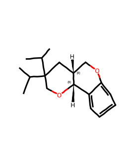 CC(C)C1(C(C)C)CO[C@H]2c3ccccc3OC[C@H]2C1